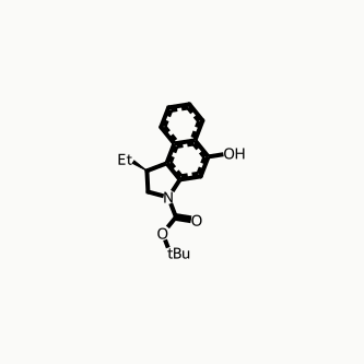 CC[C@@H]1CN(C(=O)OC(C)(C)C)c2cc(O)c3ccccc3c21